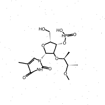 CO[C@@H](C)[C@H](C)OC1[C@@H](O[PH](=O)O)[C@@H](CO)O[C@H]1n1cc(C)c(=O)[nH]c1=O